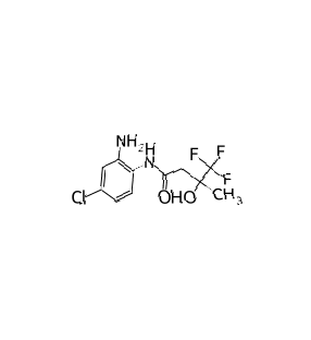 CC(O)(CC(=O)Nc1ccc(Cl)cc1N)C(F)(F)F